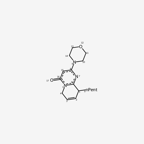 CCCCCC1C=CCn2c1nc(N1CCOCC1)cc2=O